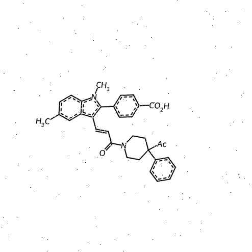 CC(=O)C1(c2ccccc2)CCN(C(=O)C=Cc2c(-c3ccc(C(=O)O)cc3)n(C)c3ccc(C)cc23)CC1